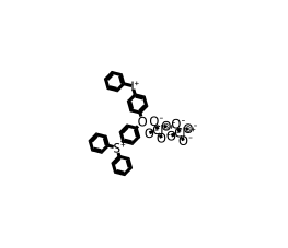 [O-][Cl+3]([O-])([O-])[O-].[O-][Cl+3]([O-])([O-])[O-].c1ccc([I+]c2ccc(Oc3ccc([S+](c4ccccc4)c4ccccc4)cc3)cc2)cc1